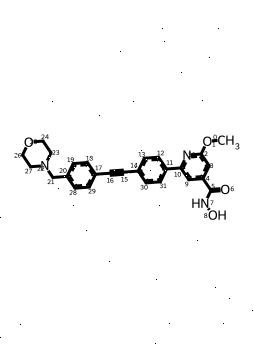 COc1cc(C(=O)NO)cc(-c2ccc(C#Cc3ccc(CN4CCOCC4)cc3)cc2)n1